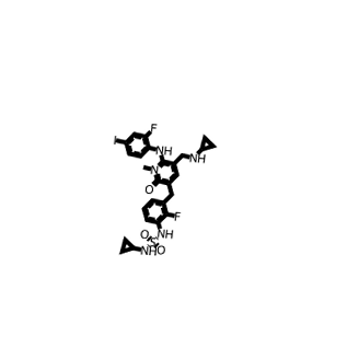 Cn1c(Nc2ccc(I)cc2F)c(CNC2CC2)cc(Cc2cccc(NS(=O)(=O)NC3CC3)c2F)c1=O